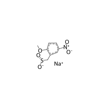 COc1ccc([N+](=O)[O-])cc1CS(=O)[O-].[Na+]